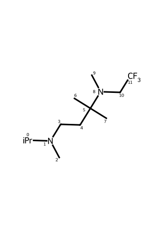 CC(C)N(C)CCC(C)(C)N(C)CC(F)(F)F